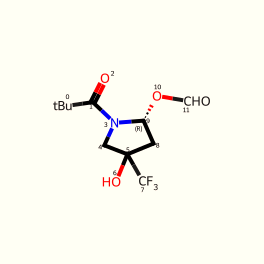 CC(C)(C)C(=O)N1CC(O)(C(F)(F)F)C[C@H]1OC=O